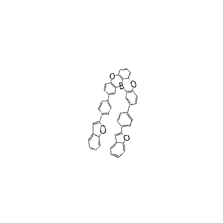 c1cc2c3c(c1)Oc1ccc(-c4ccc(-c5cc6ccccc6o5)cc4)cc1B3c1cc(-c3ccc(-c4cc5ccccc5o4)cc3)ccc1O2